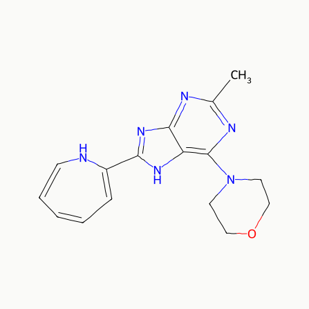 Cc1nc(N2CCOCC2)c2[nH]c(C3=CC=CC=CN3)nc2n1